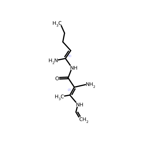 C=CN/C(C)=C(\N)C(=O)N/C(N)=C/CCC